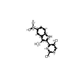 Cc1c(-c2nc(Cl)ncc2Cl)[nH]c2ccc([N+](=O)[O-])cc12